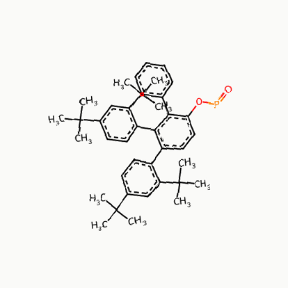 CC(C)(C)c1ccc(-c2ccc(OP=O)c(-c3ccccc3)c2-c2ccc(C(C)(C)C)cc2C(C)(C)C)c(C(C)(C)C)c1